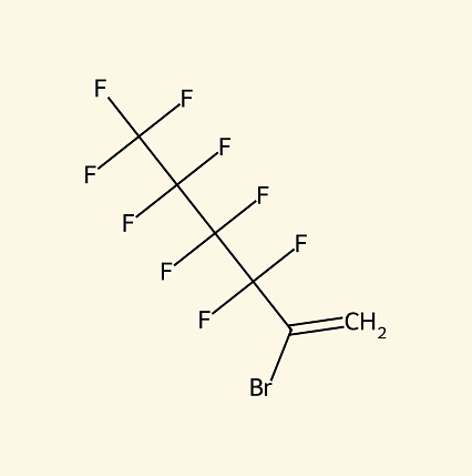 C=C(Br)C(F)(F)C(F)(F)C(F)(F)C(F)(F)F